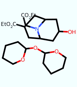 C1CCC(OC2CCCCO2)OC1.CCOC(=O)CN1C2CC(O)CC1CC(C(=O)OCC)C2